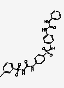 Cc1cccc(S(=O)(=O)NC(=O)Nc2ccc(S(=O)(=O)Nc3ccc(NC(=O)Nc4ccccc4)cc3)cc2)c1